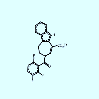 CCOC(=O)C1=CN(C(=O)c2c(F)ccc(F)c2F)CCc2c1[nH]c1ccccc21